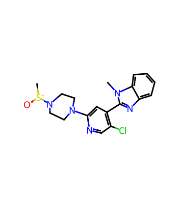 Cn1c(-c2cc(N3CCN([S+](C)[O-])CC3)ncc2Cl)nc2ccccc21